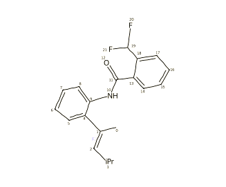 C/C(=C\C(C)C)c1ccccc1NC(=O)c1ccccc1C(F)F